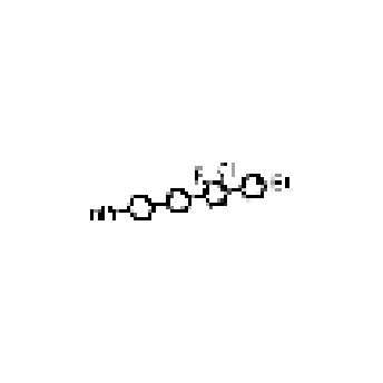 CCCC1CC=C(c2ccc(-c3ccc(-c4ccc(CC)cc4)c(Cl)c3F)cc2)CC1